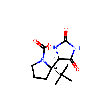 CC(C)(C)[C@]1([C@@H]2NC(=O)NC2=O)CCCN1C(=O)O